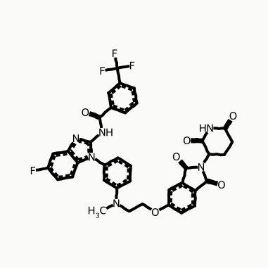 CN(CCOc1ccc2c(c1)C(=O)N(C1CCC(=O)NC1=O)C2=O)c1cccc(-n2c(NC(=O)c3cccc(C(F)(F)F)c3)nc3cc(F)ccc32)c1